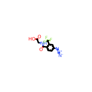 [N-]=[N+]=Nc1ccc(C(=O)NCC(=O)O)c(C(F)(F)F)c1